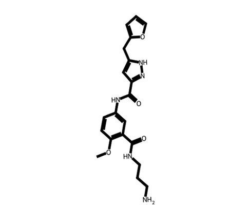 COc1ccc(NC(=O)c2cc(Cc3ccco3)[nH]n2)cc1C(=O)NCCCN